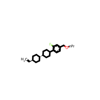 C=C[C@H]1CC[C@H](C2CCC(c3ccc(COCCC)cc3F)CC2)CC1